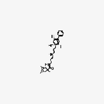 COCC(C)(COC)C(=O)NCCCNCCC[C@@]1(O)C[C@H]2CC[C@@H]1C=C2c1ccccc1